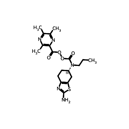 CCCN(C(=O)OOC(=O)c1nc(C)c(C)nc1C)[C@H]1CCc2nc(N)sc2C1